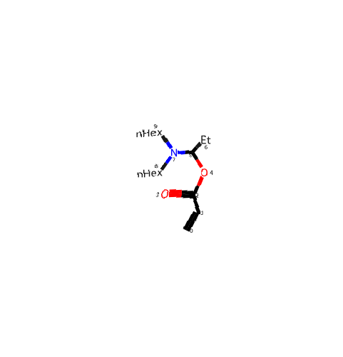 C=CC(=O)OC(CC)N(CCCCCC)CCCCCC